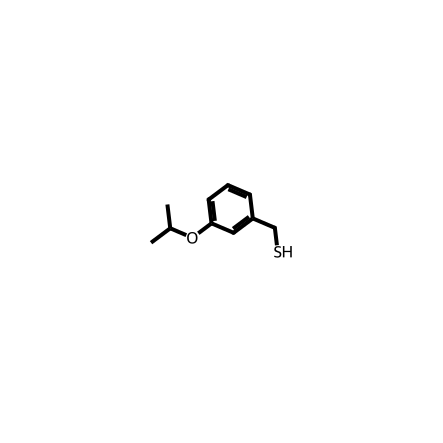 CC(C)Oc1cccc(CS)c1